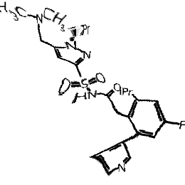 CC(C)c1cc(F)cc(-c2cccnc2)c1CC(=O)NS(=O)(=O)c1cc(CN(C)C)n(C(C)C)n1